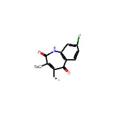 COc1c(C)c(=O)c2ccc(Cl)cc2[nH]c1=O